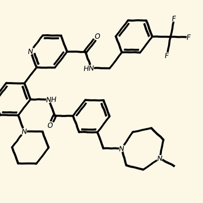 CN1CCCN(Cc2cccc(C(=O)Nc3c(-c4cc(C(=O)NCc5cccc(C(F)(F)F)c5)ccn4)cccc3N3CCCCC3)c2)CC1